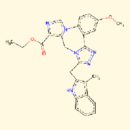 CCOC(=O)c1ncn2c1Cn1c(Cc3[nH]c4ccccc4c3C)nnc1-c1cc(OC)ccc1-2